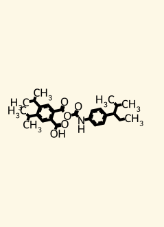 CCC(c1ccc(NC(=O)OC(=O)c2cc(C(C)C)c(C(C)C)cc2C(=O)O)cc1)C(C)C